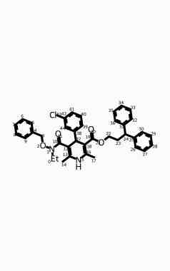 CCN(OCc1ccccc1)C(=O)C1=C(C)NC(C)=C(C(=O)OCCC(c2ccccc2)c2ccccc2)C1c1cccc(Cl)c1